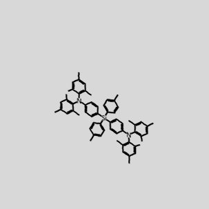 Cc1ccc([Si](c2ccc(C)cc2)(c2ccc(N(c3c(C)cc(C)cc3C)c3c(C)cc(C)cc3C)cc2)c2ccc(N(c3c(C)cc(C)cc3C)c3c(C)cc(C)cc3C)cc2)cc1